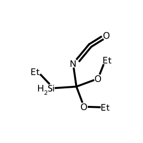 CCOC(N=C=O)(OCC)[SiH2]CC